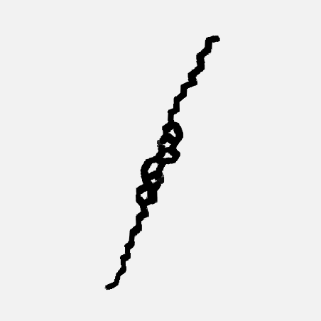 CCCCCCCCCCCCc1ccc2c(c1)sc1c2ccc2c1ccc1c3ccc(CCCCCCCCCCCC)cc3sc12